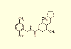 CCCc1ccc(C)cc1CNC(=O)C1CC(C)C(CC2CCCC2)C(C)C1